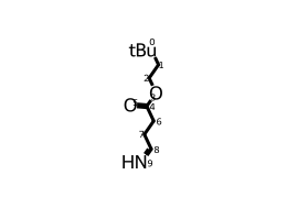 CC(C)(C)CCOC(=O)CCC=N